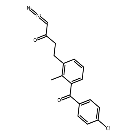 Cc1c(CCC(=O)C=[N+]=[N-])cccc1C(=O)c1ccc(Cl)cc1